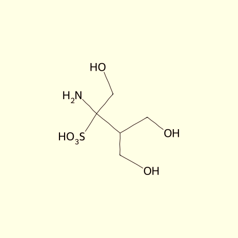 NC(CO)(C(CO)CO)S(=O)(=O)O